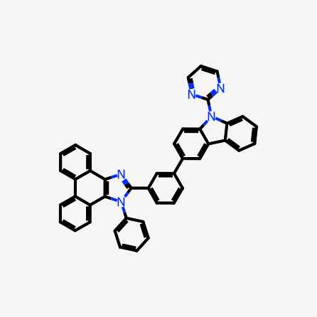 c1ccc(-n2c(-c3cccc(-c4ccc5c(c4)c4ccccc4n5-c4ncccn4)c3)nc3c4ccccc4c4ccccc4c32)cc1